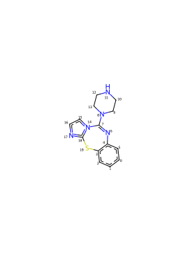 c1ccc2c(c1)N=C(N1CCNCC1)n1ccnc1S2